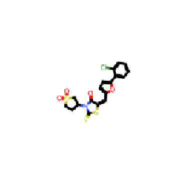 O=C1/C(=C\c2ccc(-c3ccccc3Cl)o2)SC(=S)N1C1CCS(=O)(=O)C1